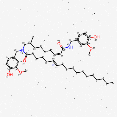 CCCCCCCCCCC/C=C/CCCCC(=O)N(Cc1ccc(O)c(OC)c1)CC(C)CCCCC=CC(=O)NCc1ccc(O)c(OC)c1